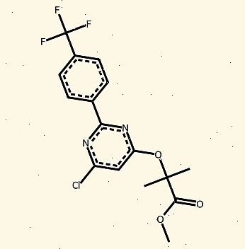 COC(=O)C(C)(C)Oc1cc(Cl)nc(-c2ccc(C(F)(F)F)cc2)n1